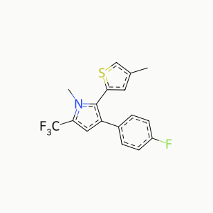 Cc1csc(-c2c(-c3ccc(F)cc3)cc(C(F)(F)F)n2C)c1